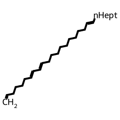 C=CCCCCC=CC=CCCCCCCCCCC=CCCCCCCC